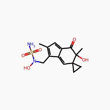 CC1=C(CN(O)S(N)(=O)=O)C2=CC3(CC3)C(C)(O)C(=O)C2=C1